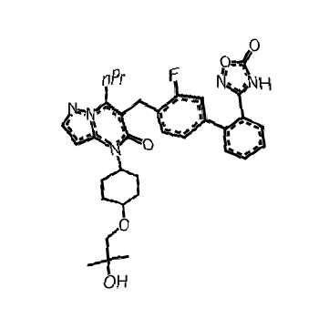 CCCc1c(Cc2ccc(-c3ccccc3-c3noc(=O)[nH]3)cc2F)c(=O)n(C2CCC(OCC(C)(C)O)CC2)c2ccnn12